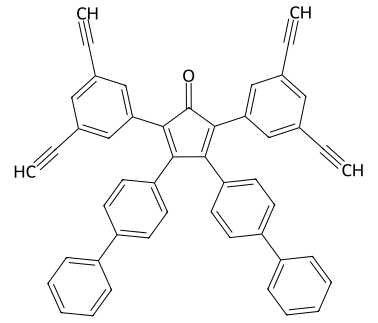 C#Cc1cc(C#C)cc(C2=C(c3ccc(-c4ccccc4)cc3)C(c3ccc(-c4ccccc4)cc3)=C(c3cc(C#C)cc(C#C)c3)C2=O)c1